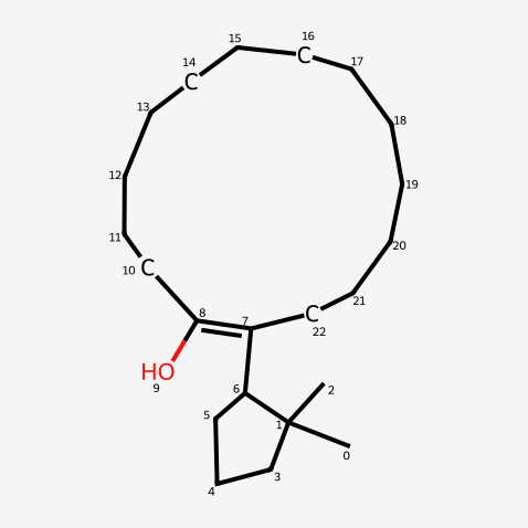 CC1(C)CCCC1C1=C(O)CCCCCCCCCCCCC1